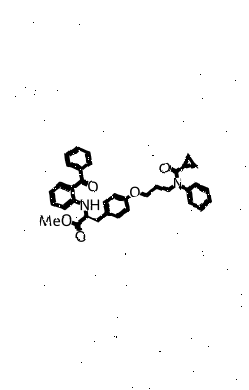 COC(=O)[C@H](Cc1ccc(OCCCN(C(=O)C2CC2)c2ccccc2)cc1)Nc1ccccc1C(=O)c1ccccc1